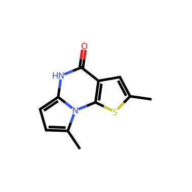 Cc1cc2c(=O)[nH]c3ccc(C)n3c2s1